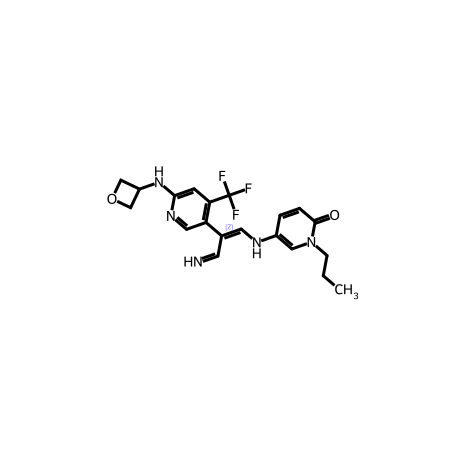 CCCn1cc(N/C=C(\C=N)c2cnc(NC3COC3)cc2C(F)(F)F)ccc1=O